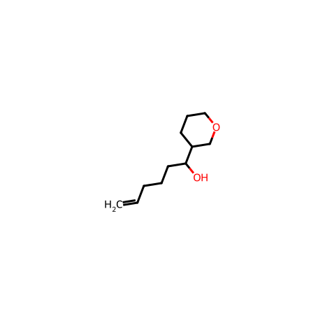 C=CCCCC(O)C1CCCOC1